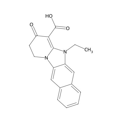 CCN1C2=C(C(=O)O)C(=O)CCN2c2cc3ccccc3cc21